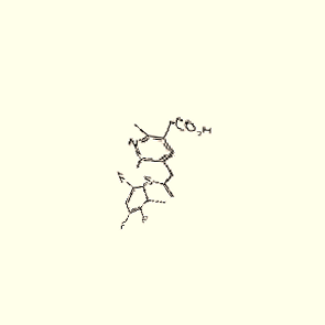 C=C(Cc1cc(CC(=O)O)c(C)nc1C)SC1C(F)=CC(F)=C(F)C1C